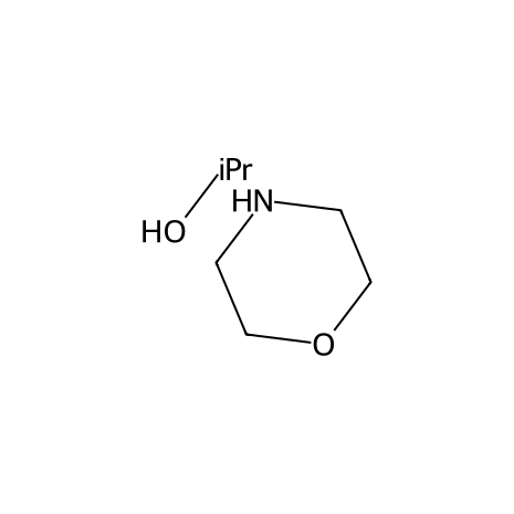 C1COCCN1.CC(C)O